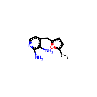 Cc1ccc(Cc2ccnc(N)c2N)o1